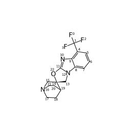 FC(F)(F)c1cccc2c1nc1n2C[C@@]2(CN3CCC2CC3)O1